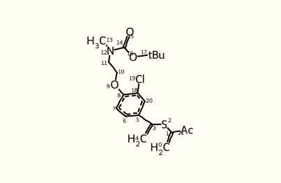 C=C(SC(=C)c1ccc(OCCN(C)C(=O)OC(C)(C)C)c(Cl)c1)C(C)=O